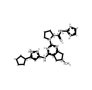 C[C@@H]1Cc2nc(N3CCC[C@H]3C(=O)Nc3nccs3)nc(Nc3cc(C4CCCC4)[nH]n3)c2C1